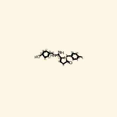 Cc1ccc(CN2C(=O)CCC2C(=N)NCc2ccc(O)cc2)cc1